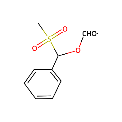 CS(=O)(=O)C(O[C]=O)c1ccccc1